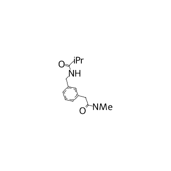 CNC(=O)Cc1cccc(CNC(=O)C(C)C)c1